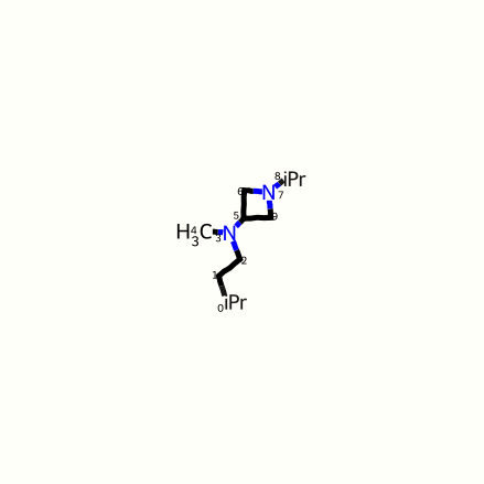 CC(C)CCN(C)C1CN(C(C)C)C1